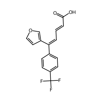 O=C(O)C=CC=C(c1ccc(C(F)(F)F)cc1)c1ccoc1